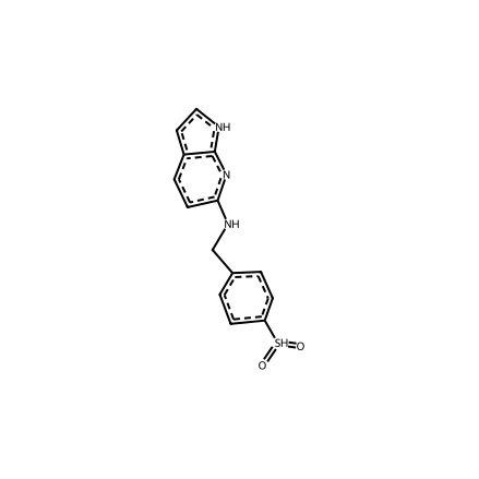 O=[SH](=O)c1ccc(CNc2ccc3cc[nH]c3n2)cc1